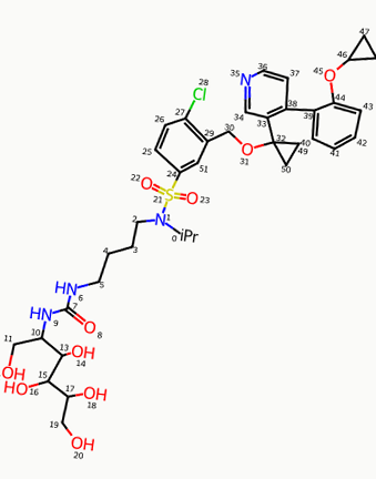 CC(C)N(CCCCNC(=O)NC(CO)C(O)C(O)C(O)CO)S(=O)(=O)c1ccc(Cl)c(COC2(c3cnccc3-c3ccccc3OC3CC3)CC2)c1